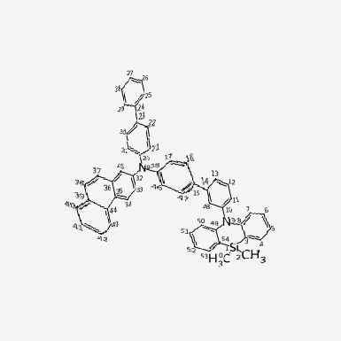 C[Si]1(C)c2ccccc2N(c2cccc(-c3ccc(N(c4ccc(-c5ccccc5)cc4)c4ccc5c(ccc6ccccc65)c4)cc3)c2)c2ccccc21